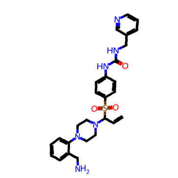 C=CC(N1CCN(c2ccccc2CN)CC1)S(=O)(=O)c1ccc(NC(=O)NCc2cccnc2)cc1